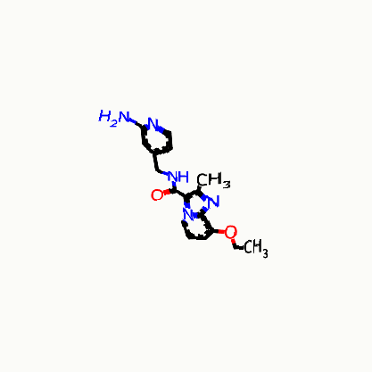 CCOc1cccn2c(C(=O)NCc3ccnc(N)c3)c(C)nc12